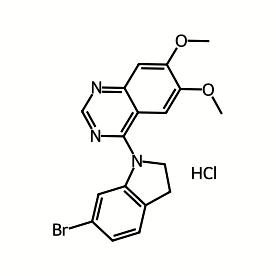 COc1cc2ncnc(N3CCc4ccc(Br)cc43)c2cc1OC.Cl